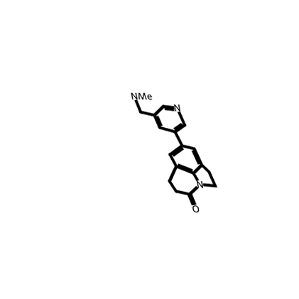 CNCc1cncc(-c2cc3c4c(c2)CCN4C(=O)CC3)c1